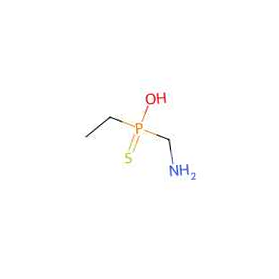 CCP(O)(=S)CN